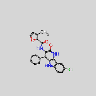 Cc1ccoc1C(=O)Nc1c(-c2ccccc2)c2[nH]c3ccc(Cl)cc3c2[nH]c1=O